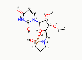 CCO[C@H]1[C@@H](OC)[C@H](n2ccc(=O)[nH]c2=O)O[C@@H]1CN1CCCS1(=O)=O